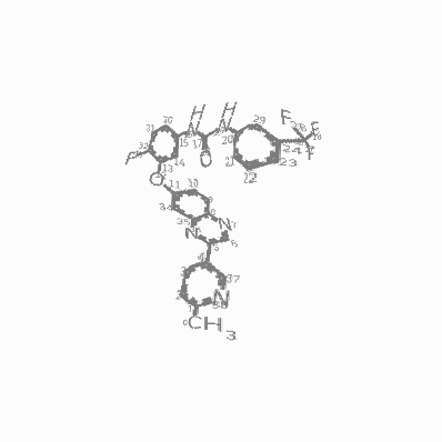 Cc1ccc(-c2cnc3ccc(Oc4cc(NC(=O)Nc5cccc(C(F)(F)F)c5)ccc4F)cc3n2)cn1